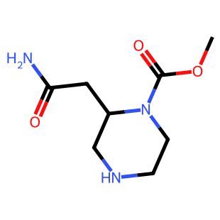 COC(=O)N1CCNCC1CC(N)=O